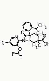 CC(C)c1ccccc1C1(C(=O)Nc2ncc(Cl)cc2OC(F)F)CCC(C)(C(=O)O)CC1